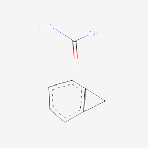 NC(N)=O.c1ccc2c(c1)C2